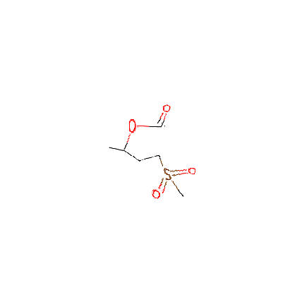 CC(CCS(C)(=O)=O)O[C]=O